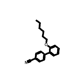 CCCCCCOc1ccccc1-c1ccc(C#N)cc1